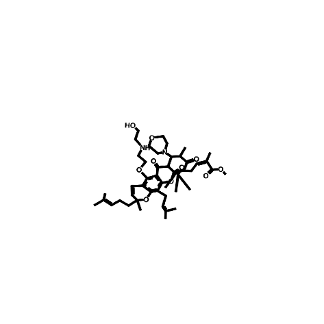 COC(=O)/C(C)=C\CC12OC(C)(C)C(C)C13Oc1c(CC=C(C)C)c4c(c(OCCNCCO)c1C(=O)C3C(N1CCOCC1)C(C)C2=O)C=CC(C)(CCC=C(C)C)O4